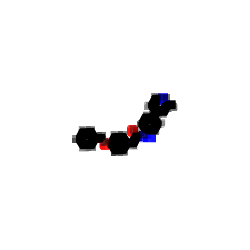 Cc1cc(-c2ccc(NC(=O)Cc3ccc(OCc4ccccc4)cc3)cc2)ccn1